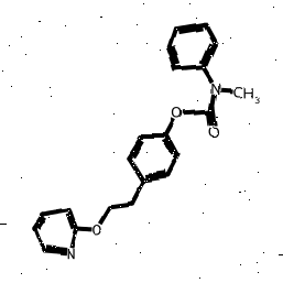 CN(C(=O)Oc1ccc(CCOc2ccccn2)cc1)c1ccccc1